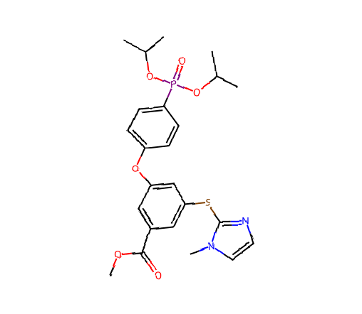 COC(=O)c1cc(Oc2ccc(P(=O)(OC(C)C)OC(C)C)cc2)cc(Sc2nccn2C)c1